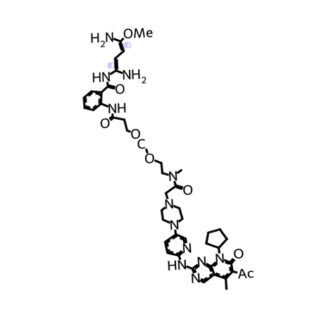 CO/C(N)=C/C=C(\N)NC(=O)c1ccccc1NC(=O)CCOCCOCCN(C)C(=O)CN1CCN(c2ccc(Nc3ncc4c(C)c(C(C)=O)c(=O)n(C5CCCC5)c4n3)nc2)CC1